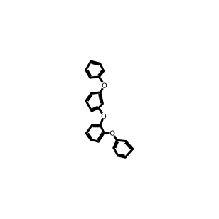 c1ccc(Oc2cccc(Oc3ccccc3Oc3ccccc3)c2)cc1